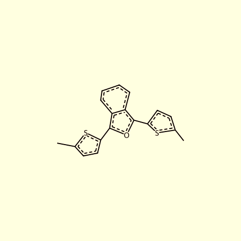 Cc1ccc(-c2oc(-c3ccc(C)s3)c3ccccc23)s1